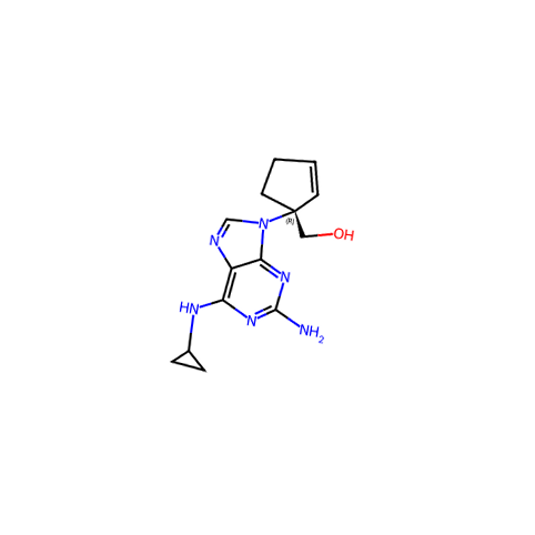 Nc1nc(NC2CC2)c2ncn([C@@]3(CO)C=CCC3)c2n1